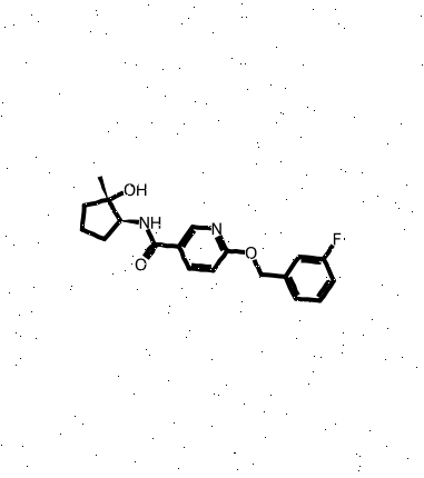 C[C@]1(O)CCC[C@@H]1NC(=O)c1ccc(OCc2cccc(F)c2)nc1